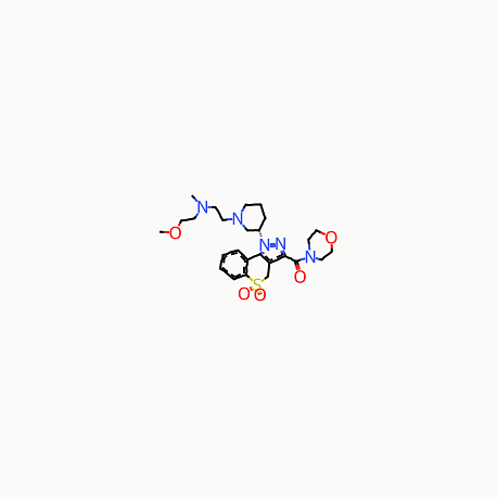 COCCN(C)CCN1CCC[C@H](n2nc(C(=O)N3CCOCC3)c3c2-c2ccccc2S(=O)(=O)C3)C1